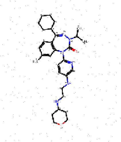 Cc1ccc2c(c1)N(c1ccc(NCCNC3CCOCC3)cn1)C(=O)N(C(C)C)N=C2C1CCCCC1